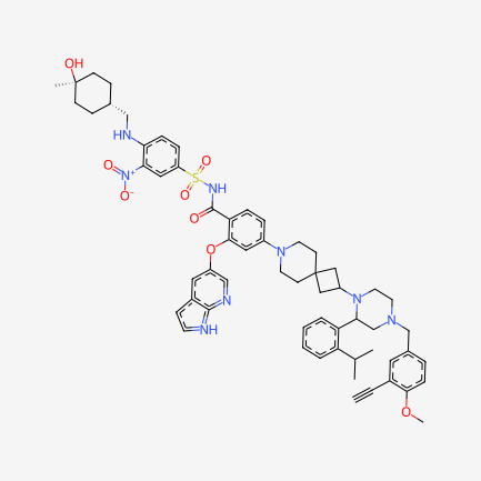 C#Cc1cc(CN2CCN(C3CC4(CCN(c5ccc(C(=O)NS(=O)(=O)c6ccc(NC[C@H]7CC[C@](C)(O)CC7)c([N+](=O)[O-])c6)c(Oc6cnc7[nH]ccc7c6)c5)CC4)C3)C(c3ccccc3C(C)C)C2)ccc1OC